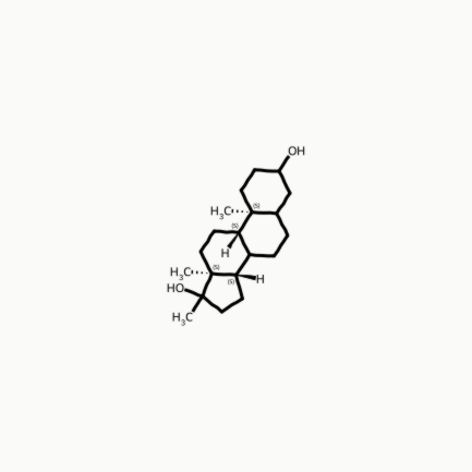 CC1(O)CC[C@H]2C3CCC4CC(O)CC[C@]4(C)[C@H]3CC[C@@]21C